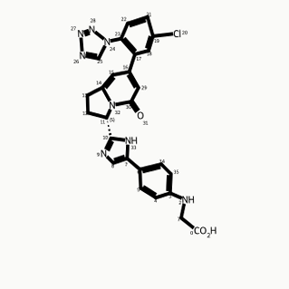 O=C(O)CNc1ccc(-c2cnc([C@@H]3CCc4cc(-c5cc(Cl)ccc5-n5cnnn5)cc(=O)n43)[nH]2)cc1